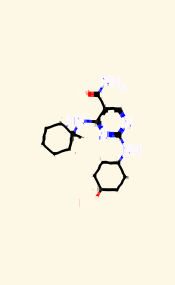 CC1(Nc2nc(NC3CCC(O)CC3)ncc2C(N)=O)CCCCC1